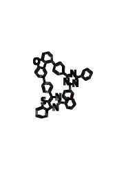 c1ccc(-c2nc(-c3ccccc3)nc(-c3ccc(-c4cccc5oc6ccc(-c7ccc(-c8nc(-c9ccccc9)nc9c8sc8ccccc89)cc7)cc6c45)cc3)n2)cc1